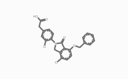 O=C(O)Cc1ccc(N2Cc3c(Cl)ccc(OCc4ccccc4)c3C2=O)c(Cl)c1